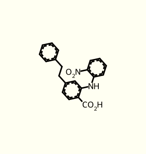 O=C(O)c1ccc(CCc2ccccc2)cc1Nc1ccccc1[N+](=O)[O-]